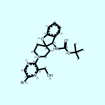 CC(C)(C)OC(=O)N[C@@H]1c2ccccc2OC12CCN(c1ncc(Br)nc1CO)CC2